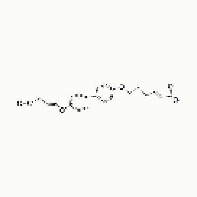 [O]C(=O)C=CCCCOc1ccc(-c2ccc(OC=CCC=O)cc2)cc1